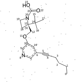 CCCCC#Cc1cncc(OC[C@@]2(C(C)(C)C)CCN2C(=O)O)c1